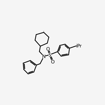 CC(C)c1ccc(S(=O)(=O)N(Cc2ccccc2)CC2CC[CH]CC2)cc1